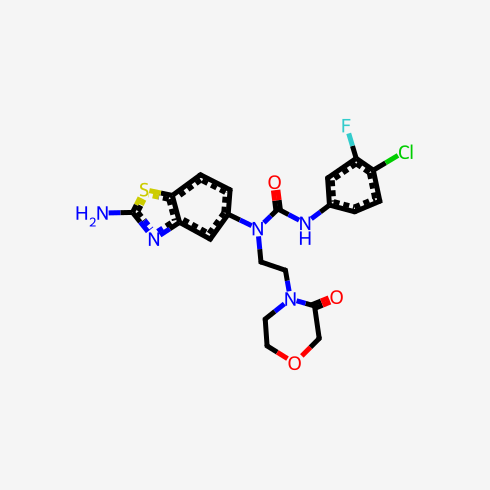 Nc1nc2cc(N(CCN3CCOCC3=O)C(=O)Nc3ccc(Cl)c(F)c3)ccc2s1